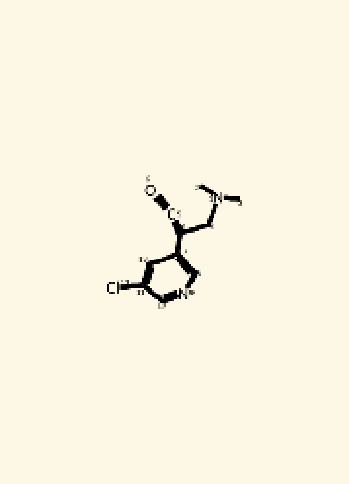 CN(C)CC(=C=O)c1cncc(Cl)c1